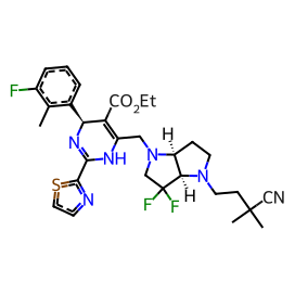 CCOC(=O)C1=C(CN2CC(F)(F)[C@H]3[C@@H]2CCN3CCC(C)(C)C#N)NC(c2nccs2)=N[C@H]1c1cccc(F)c1C